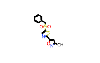 Cc1cc(-c2ncc(S(=O)(=O)Cc3ccccc3)s2)on1